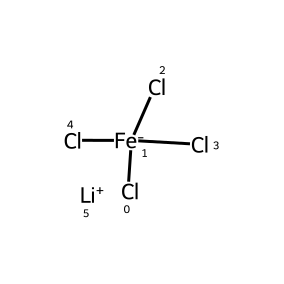 [Cl][Fe-]([Cl])([Cl])[Cl].[Li+]